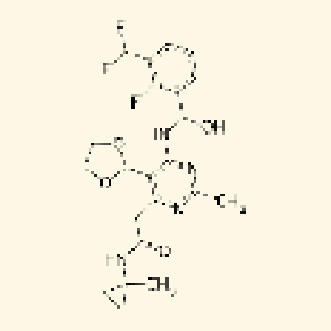 Cc1nc(CC(=O)NC2(C)CC2)c(C2OCCO2)c(NC(O)c2cccc(C(F)F)c2F)n1